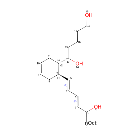 CCCCCCCCC(O)/C=C/C=C/[C@H]1CC=CC[C@@H]1C(O)CCCCO